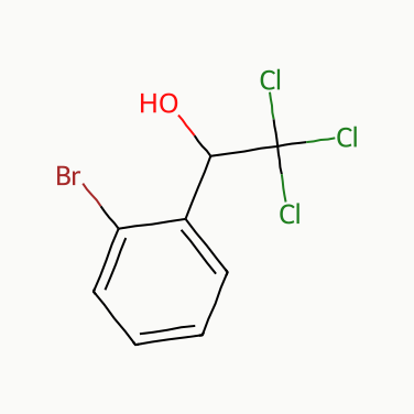 OC(c1ccccc1Br)C(Cl)(Cl)Cl